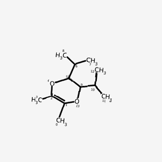 CC1=C(C)OC(C(C)C)C(C(C)C)O1